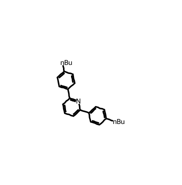 CCCCc1ccc(-c2cccc(-c3ccc(CCCC)cc3)n2)cc1